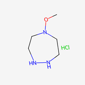 CON1CCNNCC1.Cl